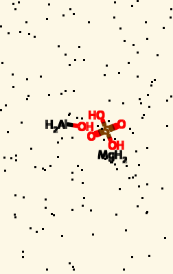 O=S(=O)(O)O.[MgH2].[OH][AlH2]